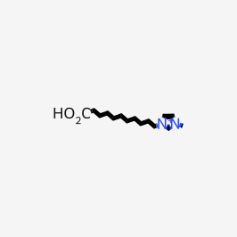 Cn1cc[n+](CCCCCCCCCCC(=O)O)c1